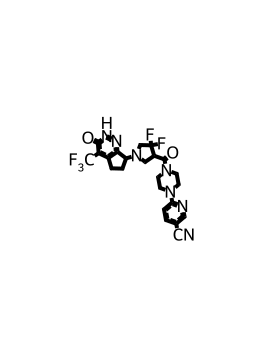 N#Cc1ccc(N2CCN(C(=O)C3CN(C4CCc5c4n[nH]c(=O)c5C(F)(F)F)CC3(F)F)CC2)nc1